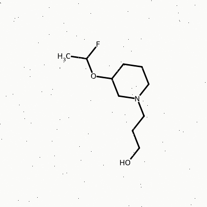 CC(F)OC1CCCN(CCCO)C1